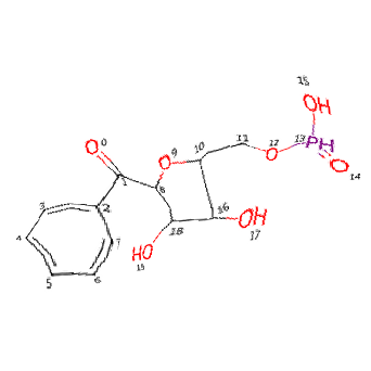 O=C(c1ccccc1)C1OC(CO[PH](=O)O)C(O)C1O